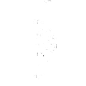 CCCCNC(=O)C[C@H]1OC1(C(=O)NCCCC)C(C)(C)O